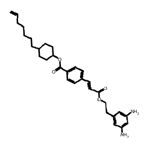 C=CCCCCCC1CCC(OC(=O)c2ccc(/C=C/C(=O)OCCc3cc(N)cc(N)c3)cc2)CC1